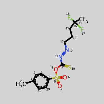 Cc1ccc(S(=O)(=O)OC(=S)N=NCCCC(F)(F)C(F)(F)F)cc1